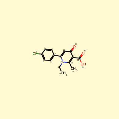 CCn1c(-c2ccc(Cl)cc2)cc(=O)c(C(=O)O)c1C